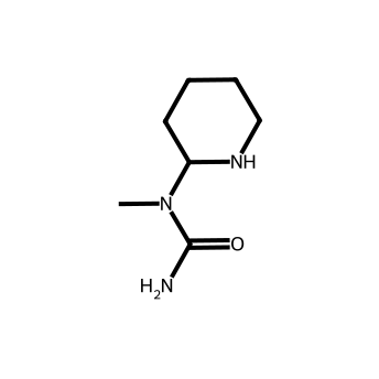 CN(C(N)=O)C1CCCCN1